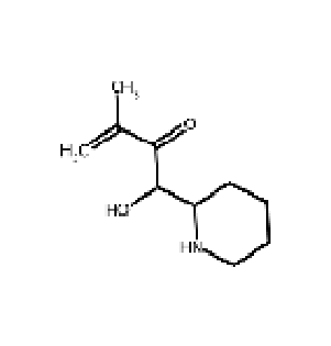 C=C(C)C(=O)C(O)C1CCCCN1